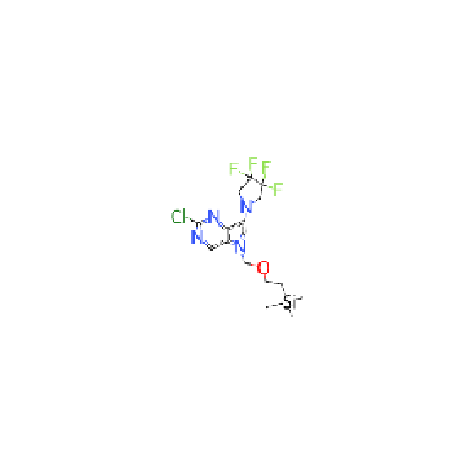 C[Si](C)(C)CCOCn1cc(N2CC(F)(F)C(F)(F)C2)c2nc(Cl)ncc21